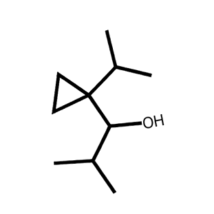 CC(C)C(O)C1(C(C)C)CC1